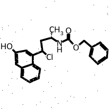 C[C@@H](CC(Cl)c1cc(O)cc2ccccc12)NC(=O)OCc1ccccc1